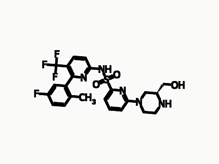 Cc1ccc(F)cc1-c1nc(NS(=O)(=O)c2cccc(N3CCN[C@@H](CO)C3)n2)ccc1C(F)(F)F